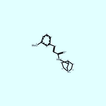 COc1cccc(/C=C/C(=O)NC2CN3CCC2CC3)c1